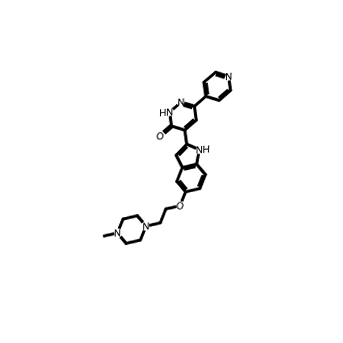 CN1CCN(CCOc2ccc3[nH]c(-c4cc(-c5ccncc5)n[nH]c4=O)cc3c2)CC1